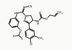 C=CCOC(=O)N[C@@H]1CN(/C(=N\C#N)Nc2cccc(OC(F)F)c2)N=C1c1ccc(Cl)c(C)c1